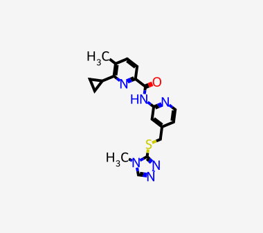 Cc1ccc(C(=O)Nc2cc(CSc3nncn3C)ccn2)nc1C1CC1